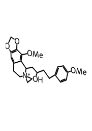 COc1ccc(CCC(O)CC2c3c(cc4c(c3OC)OCO4)CC[N+]23CC3)cc1